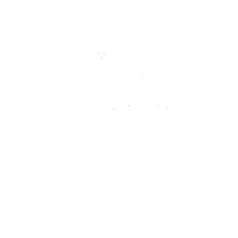 C=Cc1ccc(CC(C)(C)C(C)(CC(=O)OC)CC(C)(C)C)cc1